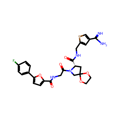 N=C(N)c1csc(CNC(=O)[C@@H]2CC3(CN2C(=O)CNC(=O)c2ccc(-c4ccc(F)cc4)o2)OCCO3)c1